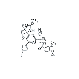 COC(=O)N[C@@]1(C(F)(F)F)COc2c1cc(C(C)(O)CNC(=O)c1ccc(OC3CC3)c(OC)c1)nc2-c1ccc(F)cc1